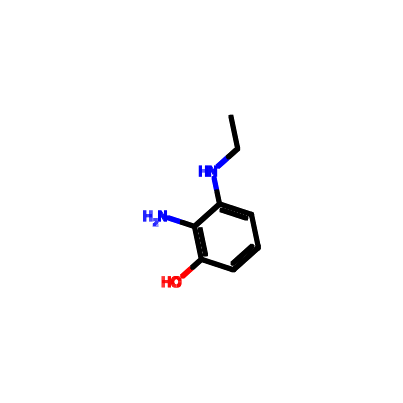 CCNc1cccc(O)c1N